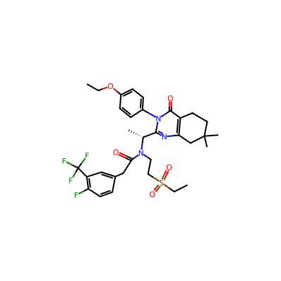 CCOc1ccc(-n2c([C@@H](C)N(CCS(=O)(=O)CC)C(=O)Cc3ccc(F)c(C(F)(F)F)c3)nc3c(c2=O)CCC(C)(C)C3)cc1